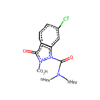 CCCCCCN(CCCCCC)C(=O)n1c2cc(Cl)ccc2c(=O)n1C(=O)O